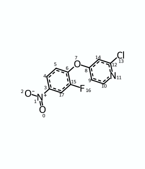 O=[N+]([O-])c1ccc(Oc2ccnc(Cl)c2)c(F)c1